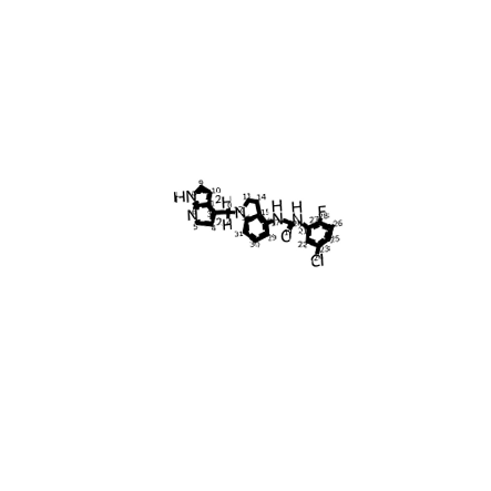 [2H]C([2H])(c1ccnc2[nH]ccc12)N1CCc2c(NC(=O)Nc3cc(Cl)ccc3F)cccc21